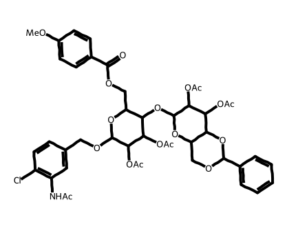 COc1ccc(C(=O)OCC2OC(OCc3ccc(Cl)c(NC(C)=O)c3)C(OC(C)=O)C(OC(C)=O)C2OC2OC3COC(c4ccccc4)OC3C(OC(C)=O)C2OC(C)=O)cc1